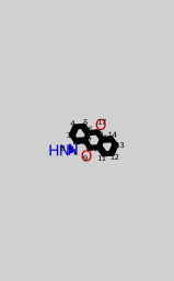 N=Nc1cccc2c1C(=O)c1ccccc1C2=O